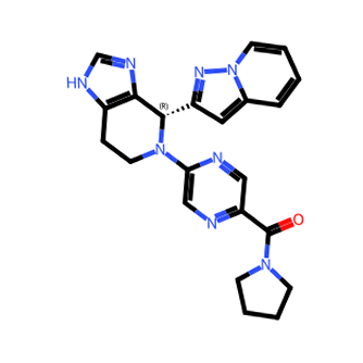 O=C(c1cnc(N2CCc3[nH]cnc3[C@@H]2c2cc3ccccn3n2)cn1)N1CCCC1